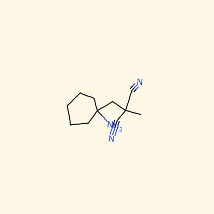 CC(C#N)(C#N)CC1(N)CCCCC1